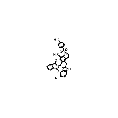 Cc1ccc(S(=O)(=O)n2ccc3c(Cc4nc5cc(C#N)ccc5[nH]4)c(CN4C(=O)c5ccccc5C4=O)cc(C)c32)cc1